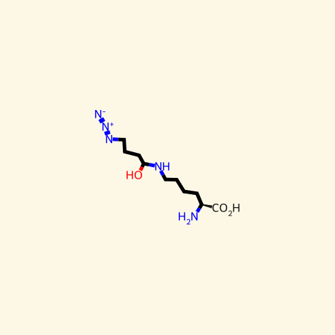 [N-]=[N+]=NCCCC(O)NCCCC[C@H](N)C(=O)O